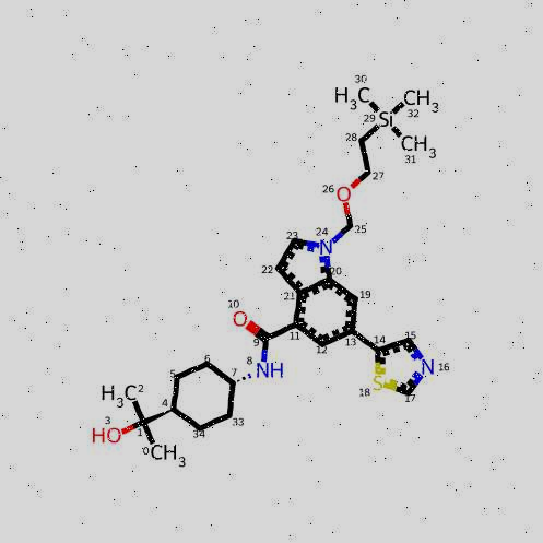 CC(C)(O)[C@H]1CC[C@H](NC(=O)c2cc(-c3cncs3)cc3c2ccn3COCC[Si](C)(C)C)CC1